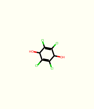 OC1C(Cl)=C(Cl)C(O)C(Cl)=C1Cl